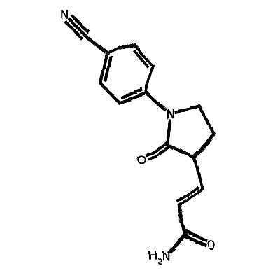 N#Cc1ccc(N2CCC(C=CC(N)=O)C2=O)cc1